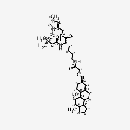 Cn1nnc(CNC(=O)[C@H](CCCCNC(=O)CO/N=C2/C=C3CCC4C5CCC[C@@]5(C)CCC4[C@@]3(C)CC2)NC(=O)C[N+](C)(C)C)n1